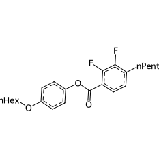 CCCCCCOc1ccc(OC(=O)c2ccc(CCCCC)c(F)c2F)cc1